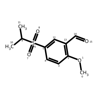 COc1ccc(S(=O)(=O)C(C)C)cc1C=O